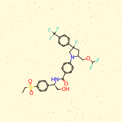 CCS(=O)(=O)c1ccc([C@H](CO)NC(=O)c2ccc(N3CC(F)(c4ccc(C(F)(F)F)cc4)CC3COC(F)F)cc2)cc1